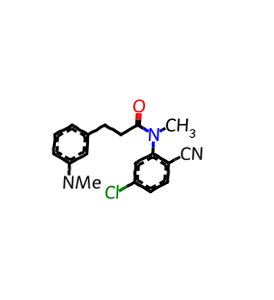 CNc1cccc(CCC(=O)N(C)c2cc(Cl)ccc2C#N)c1